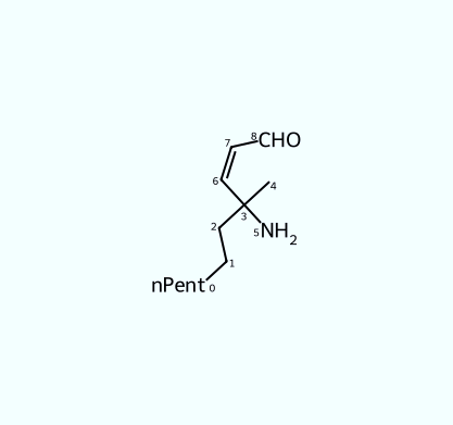 CCCCCCCC(C)(N)/C=C\C=O